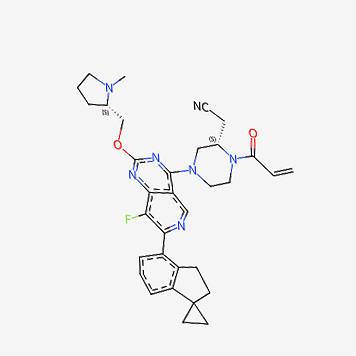 C=CC(=O)N1CCN(c2nc(OC[C@@H]3CCCN3C)nc3c(F)c(-c4cccc5c4CCC54CC4)ncc23)C[C@@H]1CC#N